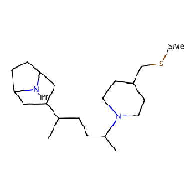 CSSCC1CCN(C(C)CCC(C)C2CC3CCC(C2)N3C(C)C)CC1